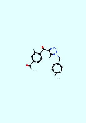 COC(=O)c1ccc(C(=O)c2nnn(Cc3ccc(OC)cc3)c2C(=O)O)c([N+](=O)[O-])c1